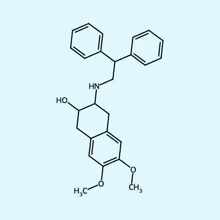 COc1cc2c(cc1OC)CC(NCC(c1ccccc1)c1ccccc1)C(O)C2